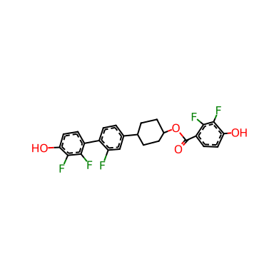 O=C(OC1CCC(c2ccc(-c3ccc(O)c(F)c3F)c(F)c2)CC1)c1ccc(O)c(F)c1F